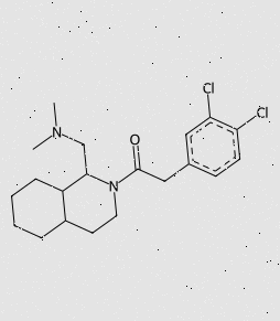 CN(C)CC1C2CCCCC2CCN1C(=O)Cc1ccc(Cl)c(Cl)c1